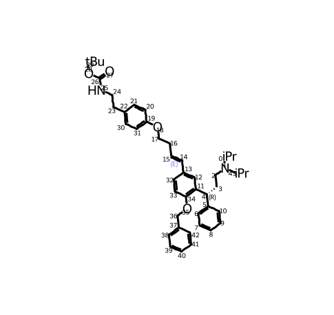 CC(C)N(CC[C@H](c1ccccc1)c1cc(/C=C/CCOc2ccc(CCNC(=O)OC(C)(C)C)cc2)ccc1OCc1ccccc1)C(C)C